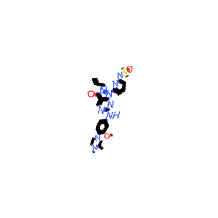 C=CCn1c(=O)c2cnc(Nc3ccc(N4CCN(C)C(C)C4)c(OC)c3)nc2n1-c1cccc(N=S(C)(C)=O)n1